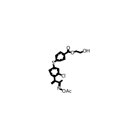 C=C(/C(C)=N/OC(C)=O)c1ccc(Sc2ccc(C(=O)OCCO)cc2)cc1Cl